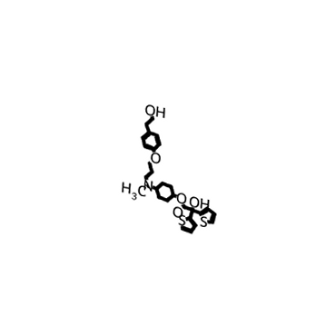 CN(CCCOc1ccc(CCO)cc1)C1CCC(OC(=O)C(O)(c2cccs2)c2cccs2)CC1